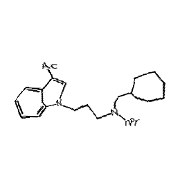 CCCN(CCCn1cc(C(C)=O)c2ccccc21)CC1CCCCC1